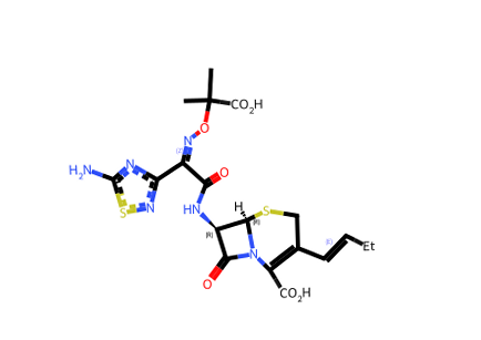 CC/C=C/C1=C(C(=O)O)N2C(=O)[C@@H](NC(=O)/C(=N\OC(C)(C)C(=O)O)c3nsc(N)n3)[C@H]2SC1